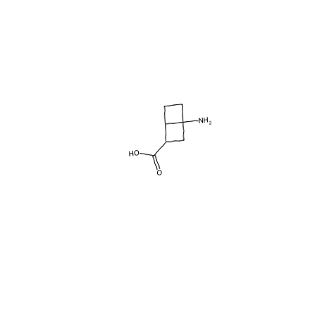 NC12CCC1C(C(=O)O)C2